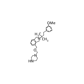 COc1cccc(CCC(C)(C)N2Cc3cccc(COCN4CCNCC4)c3C2)c1